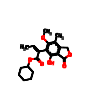 CC=C(C(=O)OC1CCCCC1)c1c(O)c2c(c(C)c1OC)COC2=O